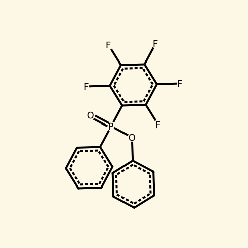 O=P(Oc1ccccc1)(c1ccccc1)c1c(F)c(F)c(F)c(F)c1F